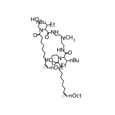 CCCCCCCC/C=C\CCCCCCCC(=O)N(CCO)C(C(=O)NCCN(C)CCNC(=O)C(C(CC)CCCC)N(CCO)C(=O)CCCCCCC/C=C\CCCCCCCC)C(CC)CCCC